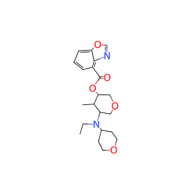 CCN(C1CCOCC1)C1COCC(OC(=O)c2cccc3ocnc23)C1C